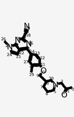 CC(=O)CN1CCCC(COc2ccc(-c3nc(C#N)nc4c3ccn4C)cc2C)C1